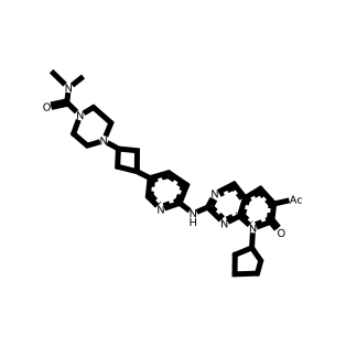 CC(=O)c1cc2cnc(Nc3ccc(C4CC(N5CCN(C(=O)N(C)C)CC5)C4)cn3)nc2n(C2CCCC2)c1=O